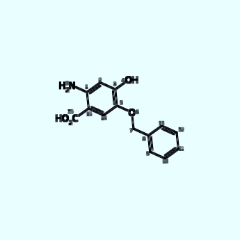 Nc1cc(O)c(OCc2ccccc2)cc1C(=O)O